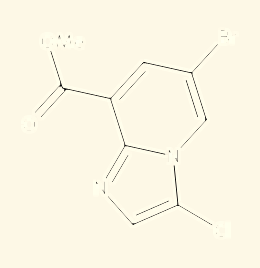 COC(=O)c1cc(Br)cn2c(Cl)cnc12